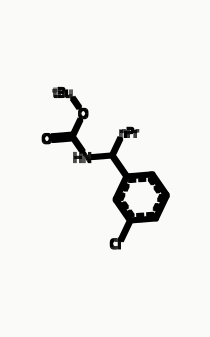 CCCC(NC(=O)OC(C)(C)C)c1cccc(Cl)c1